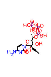 CC#CC1(O)[C@@H](O)[C@@H]([C@H](C)OP(=O)(O)OP(=O)(O)OP(=O)(O)O)O[C@H]1n1ccc(N)nc1=O